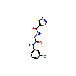 O=C(CNC(=O)c1cncs1)Nc1cccc(Cl)c1